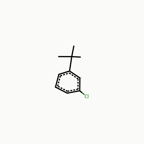 CC(C)(C)c1[c]c(Cl)ccc1